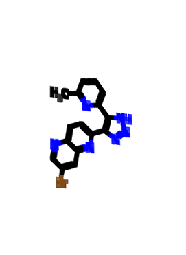 Cc1cccc(-c2[nH]nnc2-c2ccc3ncc(Br)cc3n2)n1